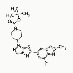 Cn1cc2cc(-c3nc4cnn(C5CCN(C(=O)OC(C)(C)C)CC5)c4s3)cc(F)c2n1